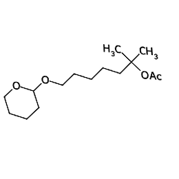 CC(=O)OC(C)(C)CCCCCOC1CCCCO1